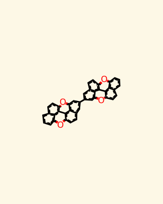 c1cc2ccc3oc4cc(-c5cc6ccc7oc8cccc9ccc%10oc(c5)c6c7-c%10c98)cc5ccc6oc(c1)c2c3-c6c54